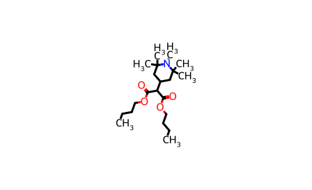 CCCCOC(=O)C(C(=O)OCCCC)C1CC(C)(C)N(C)C(C)(C)C1